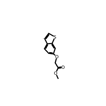 COC(=O)COc1ccc2[c]csc2c1